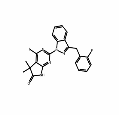 CC1(C)C(=O)Nc2nc(-n3nc(Cc4ccccc4F)c4ccccc43)nc(I)c21